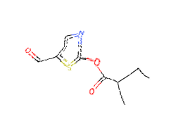 CCC(C)C(=O)Oc1ncc(C=O)s1